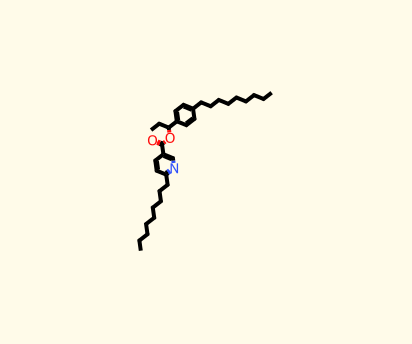 CCCCCCCCCc1ccc(C(CC)OC(=O)c2ccc(CCCCCCCCC)nc2)cc1